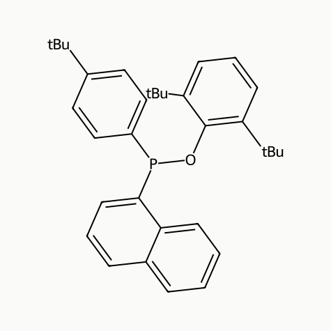 CC(C)(C)c1ccc(P(Oc2c(C(C)(C)C)cccc2C(C)(C)C)c2cccc3ccccc23)cc1